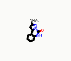 CC(=O)Nc1cc2c3ccccc3[nH]c(=O)n2n1